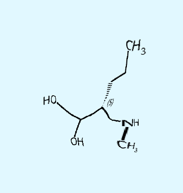 CCC[C@H](NC)C(O)O